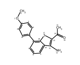 COc1ccc(-c2cccc3c(N)c(C(C)=O)sc23)cc1